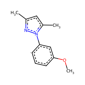 COc1cc[c]c(-n2nc(C)cc2C)c1